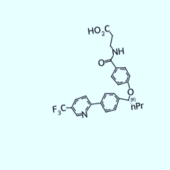 CCC[C@@H](Oc1ccc(C(=O)NCCC(=O)O)cc1)c1ccc(-c2ccc(C(F)(F)F)cn2)cc1